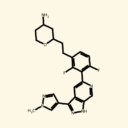 Cn1cc(-c2n[nH]c3cnc(-c4c(F)ccc(CCC5CC(N)CCO5)c4F)cc23)cn1